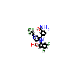 NC(=O)c1cccc(-c2nn([C@@H]3c4cc(F)cc(F)c4C[C@@H]3O)c3c2CN(CCC(F)(F)F)CC3)c1